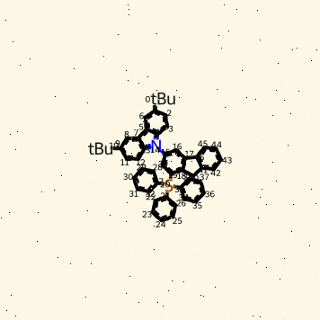 CC(C)(C)c1ccc2c(c1)c1cc(C(C)(C)C)ccc1n2-c1cc2c(c(S(c3ccccc3)(c3ccccc3)c3ccccc3)c1)Cc1ccccc1-2